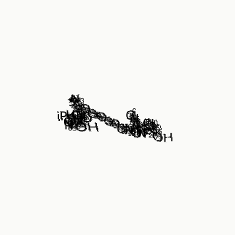 C=CC(=O)N1CCN(c2nc(O[C@H](C)CN3CCC(OCCOCCOCCOCCOCCOc4cc(-c5scnc5C)ccc4CNC(=O)[C@@H]4C[C@@H](O)CN4C(=O)[C@@H](c4cc(C)no4)C(C)C)CC3)nc3c(F)c(-c4cc(O)cc5ccccc45)c(Cl)cc23)CC1